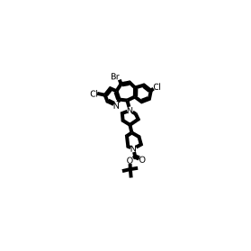 CC(C)(C)OC(=O)N1CCC(C2CCN(C3c4ccc(Cl)cc4C=C(Br)c4cc(Cl)cnc43)CC2)CC1